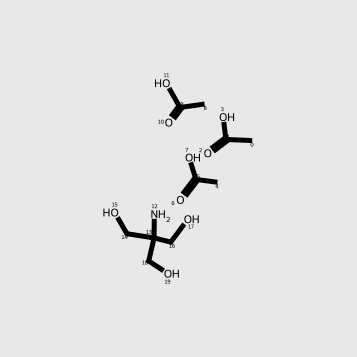 CC(=O)O.CC(=O)O.CC(=O)O.NC(CO)(CO)CO